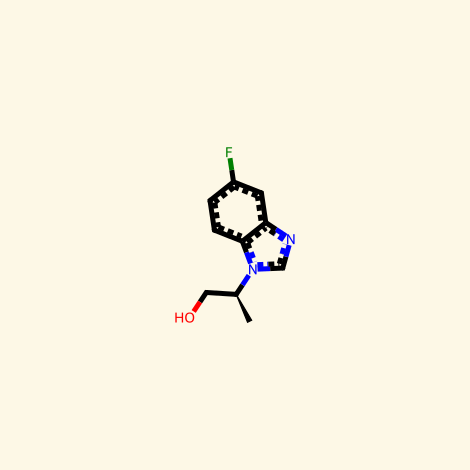 C[C@@H](CO)n1cnc2cc(F)ccc21